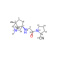 CN1C[C@]2(C)CC[C@](NCC(=O)N3CCCC3C#N)(C1)C2(C)C